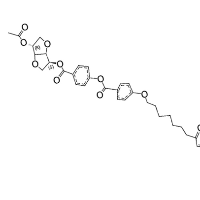 C=CC(=O)CCCCCCCOc1ccc(C(=O)Oc2ccc(C(=O)O[C@H]3COC4C3OC[C@H]4OC(C)=O)cc2)cc1